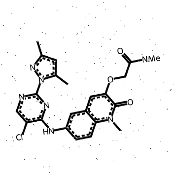 CNC(=O)COc1cc2cc(Nc3nc(-n4nc(C)cc4C)ncc3Cl)ccc2n(C)c1=O